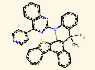 CC1(C)c2ccccc2N(c2nc(-c3ccncc3)c3ccccc3n2)c2c1c1ccccc1c1c2sc2ccccc21